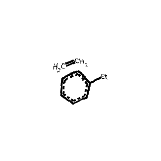 C=C.CCc1ccccc1